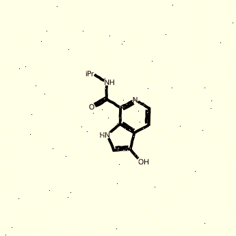 CC(C)NC(=O)c1nccc2c(O)c[nH]c12